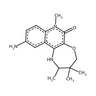 CC1Nc2c(c(=O)n(C)c3ccc(N)cc23)OCC1(C)C